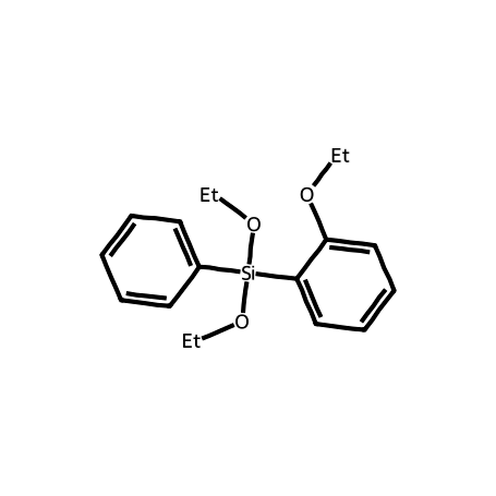 CCOc1ccccc1[Si](OCC)(OCC)c1ccccc1